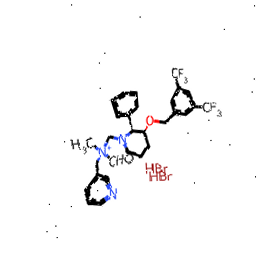 Br.Br.C[N+](C=O)(Cc1cccnc1)CN1CCC[C@H](OCc2cc(C(F)(F)F)cc(C(F)(F)F)c2)[C@@H]1c1ccccc1